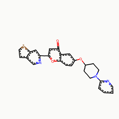 O=c1cc(-c2cc3sccc3cn2)oc2ccc(OC3CCN(c4ccccn4)CC3)cc12